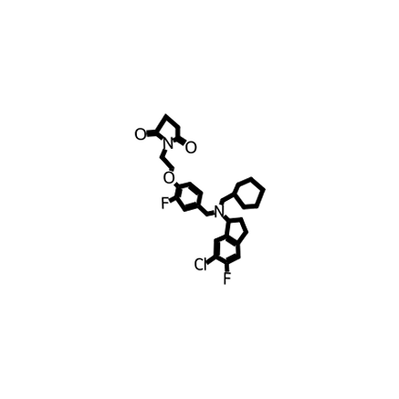 O=C1CCC(=O)N1CCOc1ccc(CN(CC2CCCCC2)C2CCc3cc(F)c(Cl)cc32)cc1F